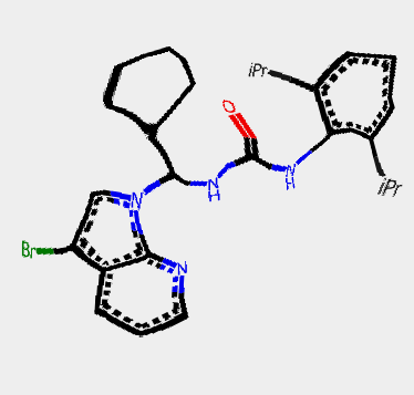 CC(C)c1cccc(C(C)C)c1NC(=O)NC(C1CCCC1)n1cc(Br)c2cccnc21